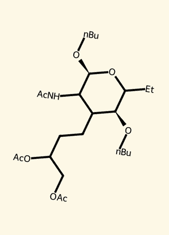 CCCCO[C@H]1OC(CC)[C@@H](OCCCC)C(CCC(COC(C)=O)OC(C)=O)C1NC(C)=O